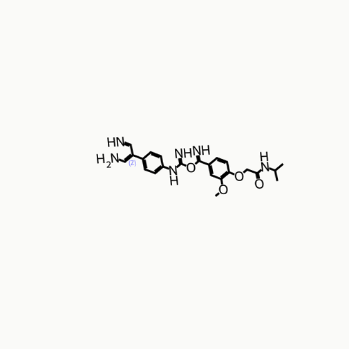 COc1cc(C(=N)OC(=N)Nc2ccc(/C(C=N)=C/N)cc2)ccc1OCC(=O)NC(C)C